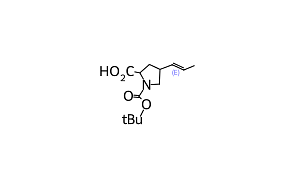 C/C=C/C1CC(C(=O)O)N(C(=O)OC(C)(C)C)C1